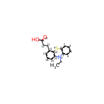 CCN1c2ccccc2Sc2c(CCC(=O)O)cccc21